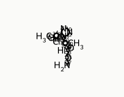 COc1ccc(-c2cnccnccn2Nc2ccc(C(=O)NCCOCCN)c(C)c2)cc1Cl